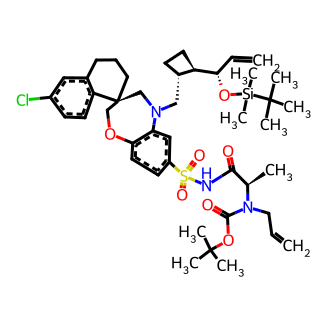 C=CCN(C(=O)OC(C)(C)C)[C@H](C)C(=O)NS(=O)(=O)c1ccc2c(c1)N(C[C@@H]1CC[C@H]1[C@H](C=C)O[Si](C)(C)C(C)(C)C)C[C@@]1(CCCc3cc(Cl)ccc31)CO2